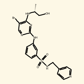 C[C@H](CO)Nc1nc(Nc2cccc(S(=O)(=O)NCc3ccncc3)c2)ncc1Br